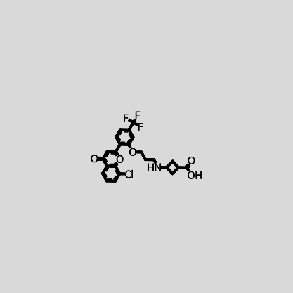 O=C(O)C1CC(NCCCOc2cc(C(F)(F)F)ccc2-c2cc(=O)c3cccc(Cl)c3o2)C1